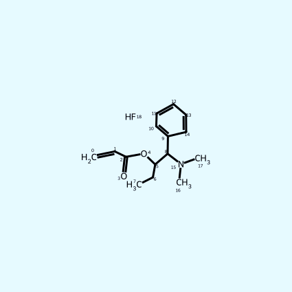 C=CC(=O)OC(CC)C(c1ccccc1)N(C)C.F